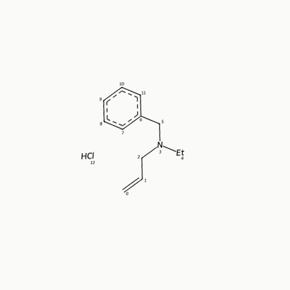 C=CCN(CC)Cc1ccccc1.Cl